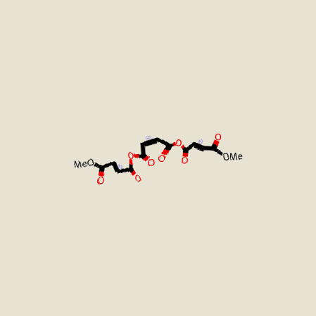 COC(=O)/C=C/C(=O)OC(=O)/C=C\C(=O)OC(=O)/C=C/C(=O)OC